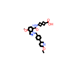 CCOc1ccc(-c2ccc(Cn3ncc4c(OC)ccc(C(=O)NC5CC6(C5)CC(C(=O)O)C6)c43)cc2)cn1